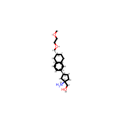 COCCOC[C@@H]1CCc2cc([C@H]3CC[C@](N)(CO)C3)ccc2C1